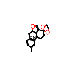 [C-]#[N+]C12CCC3(OCCO3)C3=COC(Cc4ccc(C)cc41)C32